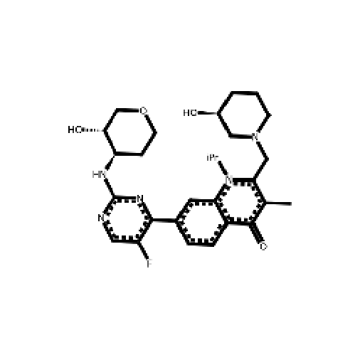 Cc1c(CN2CCC[C@H](O)C2)n(C(C)C)c2cc(-c3nc(N[C@@H]4CCOC[C@H]4O)ncc3F)ccc2c1=O